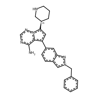 Nc1ncnn2c([C@@H]3CCCNC3)cc(-c3ccc4cn(Cc5ccccc5)nc4c3)c12